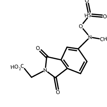 CN(O[SH](=O)=O)c1ccc2c(c1)C(=O)N(CC(=O)O)C2=O